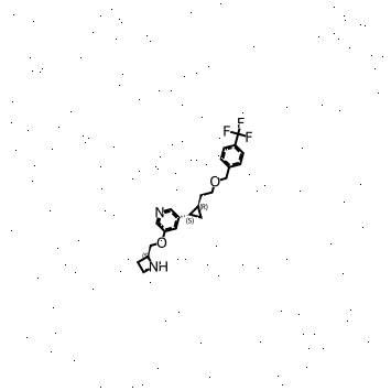 FC(F)(F)c1ccc(COCC[C@H]2C[C@@H]2c2cncc(OC[C@@H]3CCN3)c2)cc1